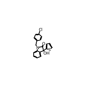 O=C1N(Cc2ccc(Cl)cc2)c2ccccc2C1(O)c1cccs1